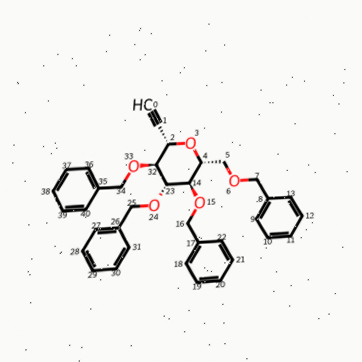 C#C[C@@H]1O[C@H](COCc2ccccc2)[C@@H](OCc2ccccc2)[C@H](OCc2ccccc2)[C@H]1OCc1ccccc1